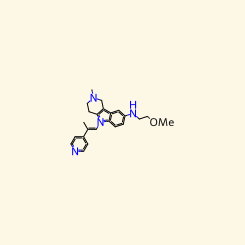 COCCNc1ccc2c(c1)c1c(n2C=C(C)c2ccncc2)CCN(C)C1